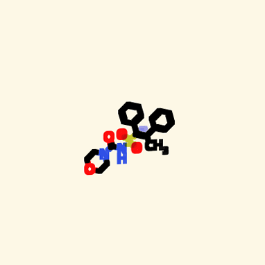 C/C(=C(/c1ccccc1)S(=O)(=O)NC(=O)N1CCOCC1)c1ccccc1